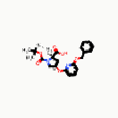 CC(C)(C)OC(=O)N1C[C@H](Oc2cccc(OCc3ccccc3)n2)C[C@@]1(C)C(=O)O